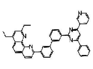 CCc1cc(CC)c2ccc3ccc(-c4cccc(-c5cccc(-c6nc(-c7ccccc7)cc(-c7cccnc7)n6)c5)c4)nc3c2n1